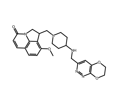 COc1ccc2ccc(=O)n3c2c1C(CN1CCC(NCc2cc4c(nn2)OCCO4)CC1)C3